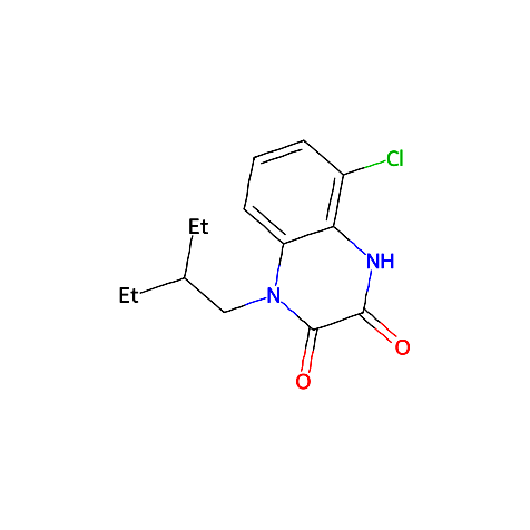 CCC(CC)Cn1c(=O)c(=O)[nH]c2c(Cl)cccc21